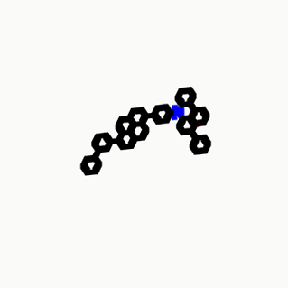 c1ccc(-c2ccc(N(c3ccc(-c4ccc5ccc6c(-c7cccc(-c8ccccc8)c7)ccc7ccc4c5c76)cc3)c3ccccc3-c3ccccc3)cc2)cc1